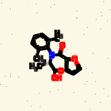 Cc1cccc(C)c1N(C(=O)c1ccco1)[C@@H](C)C(=O)O